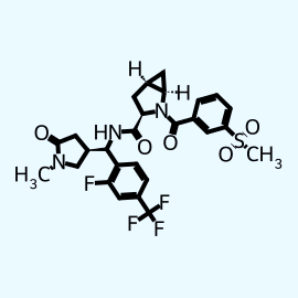 CN1C[C@H](C(NC(=O)[C@H]2C[C@H]3C[C@H]3N2C(=O)c2cccc(S(C)(=O)=O)c2)c2ccc(C(F)(F)F)cc2F)CC1=O